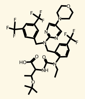 CCN(C(=O)NC(C(=O)O)C(C)OC(C)(C)C)c1ccc(C(F)(F)F)cc1CN(Cc1cc(C(F)(F)F)cc(C(F)(F)F)c1)c1ncc(N2CCOCC2)cn1